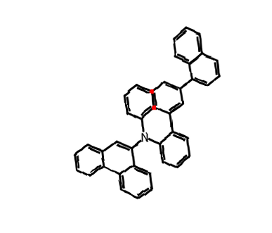 c1ccc(N(c2ccccc2-c2cccc(-c3cccc4ccccc34)c2)c2cc3ccccc3c3ccccc23)cc1